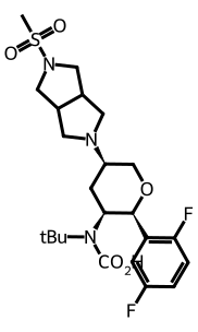 CC(C)(C)N(C(=O)O)[C@H]1C[C@@H](N2CC3CN(S(C)(=O)=O)CC3C2)CO[C@H]1c1cc(F)ccc1F